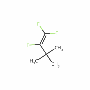 CC(C)(C)C(F)=C(F)F